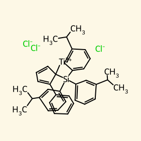 CC(C)c1cccc([Si](c2cccc(C(C)C)c2)(c2cccc(C(C)C)c2)[C]2([Ti+3])C=CC=C2c2ccccc2)c1.[Cl-].[Cl-].[Cl-]